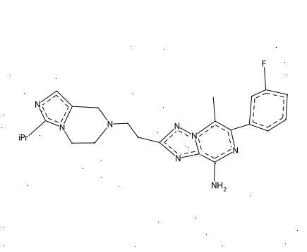 Cc1c(-c2cccc(F)c2)nc(N)c2nc(CCN3CCn4c(cnc4C(C)C)C3)nn12